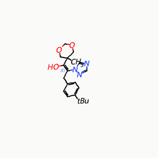 CC1(/C(O)=C(/Cc2ccc(C(C)(C)C)cc2)n2cncn2)COCOC1